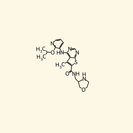 Cc1c(C(=O)NCC2COCCN2)sc2ncnc(Nc3cccnc3OC(C)C)c12